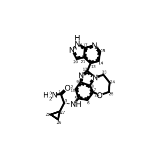 NC(=O)[C@H](Nc1cc2c3c(c1)nc(-c1ccnc4[nH]ncc14)n3CCCO2)C1CC1